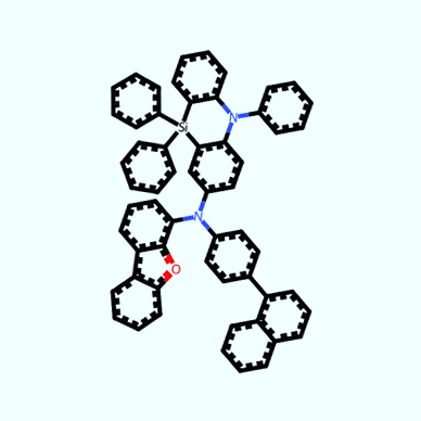 c1ccc(N2c3ccccc3[Si](c3ccccc3)(c3ccccc3)c3cc(N(c4ccc(-c5cccc6ccccc56)cc4)c4cccc5c4oc4ccccc45)ccc32)cc1